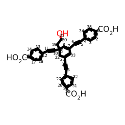 O=C(O)c1ccc(C#CC2=CC(C#Cc3ccc(C(=O)O)cc3)(CCO)CC(C#Cc3ccc(C(=O)O)cc3)=C2)cc1